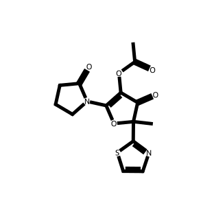 CC(=O)OC1=C(N2CCCC2=O)OC(C)(c2nccs2)C1=O